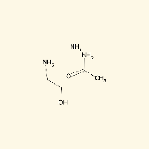 CC(N)=O.N.NCCO